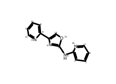 c1ccc(Nc2nc(-c3ccccn3)co2)nc1